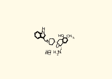 Cc1ccc2c(c1O)C[C@@H](C1CCN(Cc3c[nH]c4ccccc34)CC1)O[C@H]2CN.Cl.Cl